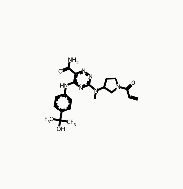 C=CC(=O)N1CCC(N(C)c2nnc(C(N)=O)c(Nc3ccc(C(O)(C(F)(F)F)C(F)(F)F)cc3)n2)C1